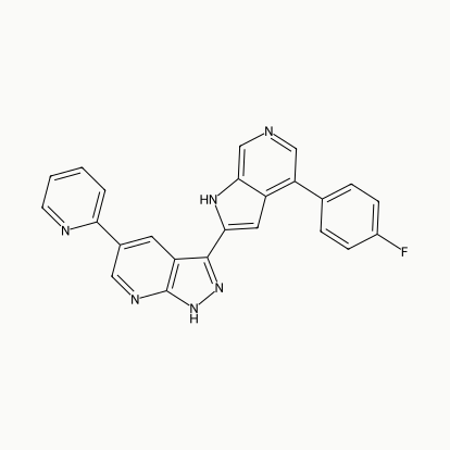 Fc1ccc(-c2cncc3[nH]c(-c4n[nH]c5ncc(-c6ccccn6)cc45)cc23)cc1